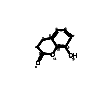 O=C1CCc2cccc(O)c2O1